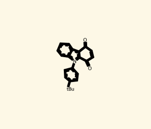 CC(C)(C)c1ccc(-n2c3c(c4ccccc42)C(=O)C=CC3=O)cc1